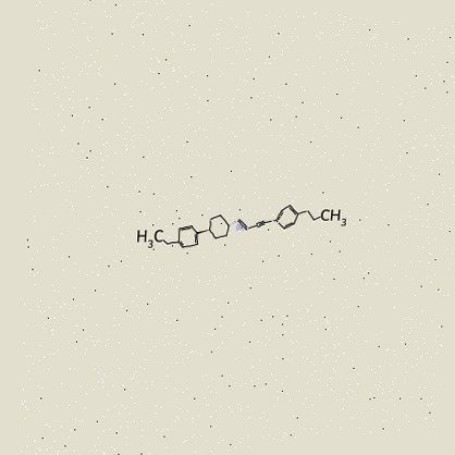 CCCc1ccc(C#C/C=C/[C@H]2CC[C@H](c3ccc(CC)cc3)CC2)cc1